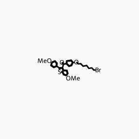 COc1ccc(-c2sc3cc(OC)ccc3c2C(=O)c2ccc(OCCCCCCCBr)cc2)cc1